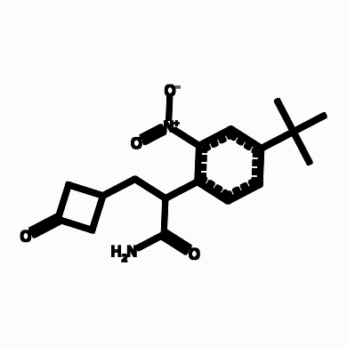 CC(C)(C)c1ccc(C(CC2CC(=O)C2)C(N)=O)c([N+](=O)[O-])c1